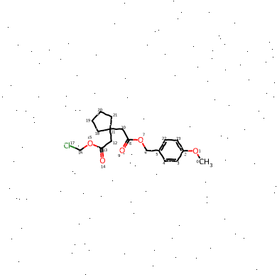 COc1ccc(COC(=O)CC2(CC(=O)OCCl)CCCC2)cc1